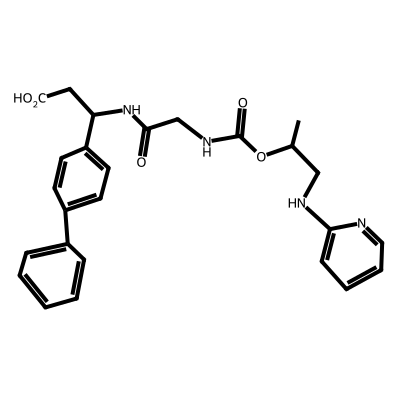 CC(CNc1ccccn1)OC(=O)NCC(=O)NC(CC(=O)O)c1ccc(-c2ccccc2)cc1